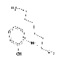 CCCCCCCC.Cc1ccccc1N